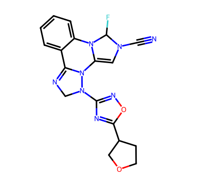 N#CN1C=C2N(c3ccccc3C3=NCN(c4noc(C5CCOC5)n4)N23)C1F